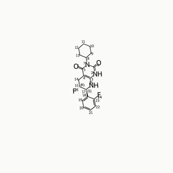 O=c1[nH]c2c(c(=O)n1C1CCCCC1)C[C@@H](F)[C@H](c1ccccc1F)N2